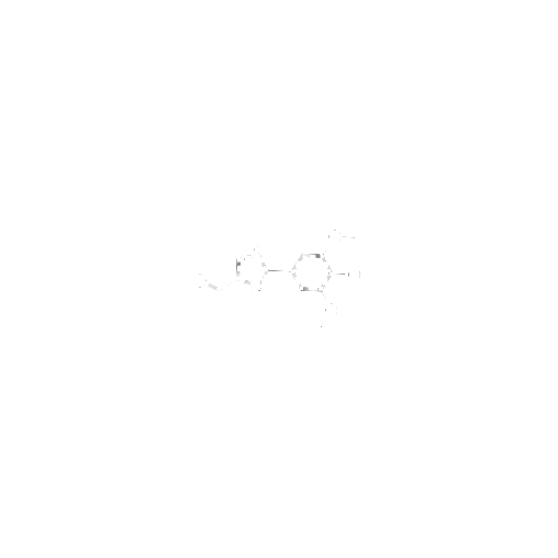 COc1cc(-c2nc(C=O)cs2)cc(OC)c1OC